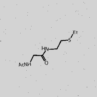 CCSCCNC(=O)CNC(C)=O